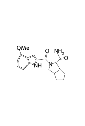 COc1cccc2[nH]c(C(=O)N3CC4CCCC4C3C(N)=O)cc12